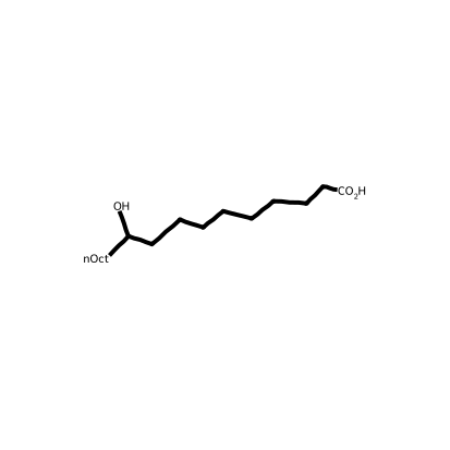 CCCCCCCCC(O)CCCCCCCCC(=O)O